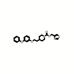 O=C(OCc1cscn1)N1CCC(CCOc2cccc(Oc3ccccc3)c2)CC1